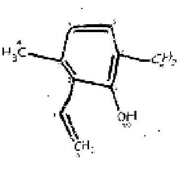 C=Cc1c(C)ccc(C)c1O